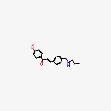 CCCNCc1ccc(C=CC(=O)c2ccc(OC)cc2)cc1